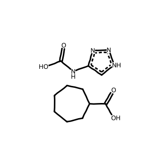 O=C(O)C1CCCCCC1.O=C(O)Nc1c[nH]nn1